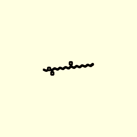 C=CCCCCCCC(=O)CCCCCCC(=O)OCC